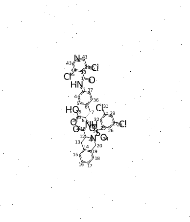 O=C(Nc1ccc(C[C@H](NC(=O)C2Cc3ccccc3CN2S(=O)(=O)c2cc(Cl)cc(Cl)c2)C(=O)O)cc1)c1c(Cl)cncc1Cl